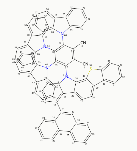 N#Cc1c(C#N)c(-n2c3cccc(-c4cc5ccccc5c5ccccc45)c3c3ccc4c5ccccc5sc4c32)c(-n2c3ccccc3c3ccccc32)c(-n2c3ccccc3c3ccccc32)c1-n1c2ccccc2c2ccccc21